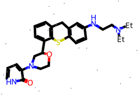 CCN(CC)CCNc1ccc2c(c1)Cc1cccc(C3CN(c4ccc[nH]c4=O)CCO3)c1S2